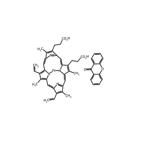 C=CC1=C(C)C2=NC/1=C\c1c(C)c(C=C)c3[n]1[Fe][n]1/c(c(C)c(CCC(=O)O)/c1=C/C1=NC(=C\3)/C(C)=C1CCC(=O)O)=C\2.O=c1c2ccccc2oc2ccccc12